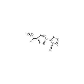 C[C@H](C(=O)O)c1ccc(N2CCOC2=O)cc1